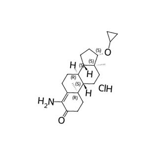 C[C@]12CC[C@H]3[C@@H](CCC4=C(N)C(=O)CC[C@@]43C)[C@@H]1CC[C@@H]2OC1CC1.Cl